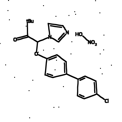 CC(C)(C)C(=O)C(Oc1ccc(-c2ccc(Cl)cc2)cc1)n1ccnc1.O=[N+]([O-])O